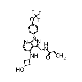 C=CC(=O)NCc1nn(-c2ccc(OC(F)(F)F)cc2)c2nccc(N[C@H]3C[C@@H](O)C3)c12